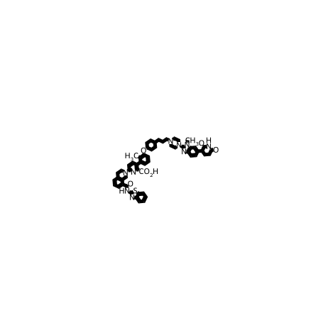 Cc1c(OC2CCC(CCCN3CCN(c4nc5ccc(C6CCC(=O)NC6=O)cc5n4C)CC3)CC2)cccc1-c1ccc(N2CCc3cccc(C(=O)Nc4nc5ccccc5s4)c3C2)nc1C(=O)O